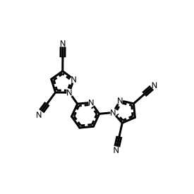 N#Cc1cc(C#N)n(-c2cccc(-n3nc(C#N)cc3C#N)n2)n1